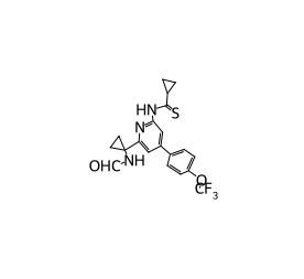 O=CNC1(c2cc(-c3ccc(OC(F)(F)F)cc3)cc(NC(=S)C3CC3)n2)CC1